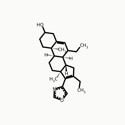 CCC1=C(c2cocn2)[C@@]2(C)CC[C@@H]3[C@@H](C(CC)C=C4CC(O)CC[C@@]43C)[C@@H]2C1